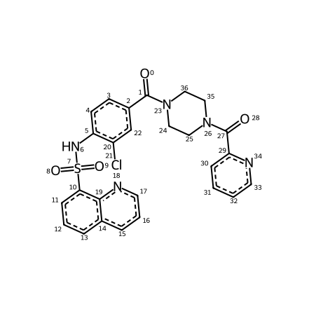 O=C(c1ccc(NS(=O)(=O)c2cccc3cccnc23)c(Cl)c1)N1CCN(C(=O)c2ccccn2)CC1